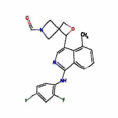 Cc1cccc2c(Nc3ccc(F)cc3F)ncc(C3OCC34CN(C=O)C4)c12